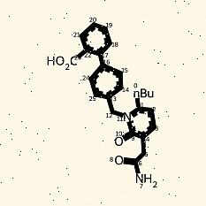 CCCCc1ccc(CC(N)=O)c(=O)n1Cc1ccc(-c2ccccc2C(=O)O)cc1